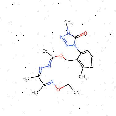 CCC(=NN=C(C)C(C)=NOCC#N)OCc1c(C)cccc1-n1nnn(C)c1=O